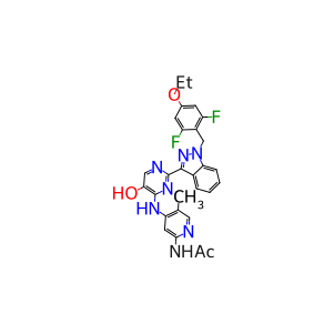 CCOc1cc(F)c(Cn2nc(-c3ncc(O)c(Nc4cc(NC(C)=O)ncc4C)n3)c3ccccc32)c(F)c1